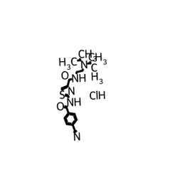 CC(C)N(CCNC(=O)c1csc(NC(=O)c2ccc(C#N)cc2)n1)C(C)C.Cl